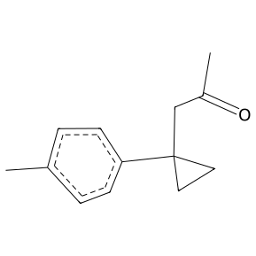 CC(=O)CC1(c2ccc(C)cc2)CC1